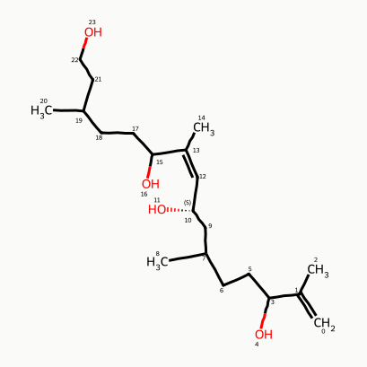 C=C(C)C(O)CCC(C)C[C@H](O)C=C(C)C(O)CCC(C)CCO